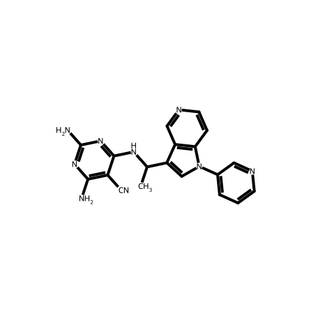 CC(Nc1nc(N)nc(N)c1C#N)c1cn(-c2cccnc2)c2ccncc12